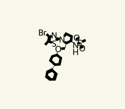 Cc1sc(N2CC[C@H](NS(C)(=O)=O)[C@@H]2CO[C@H]2CC[C@@H](c3ccccc3)CC2)nc1Br